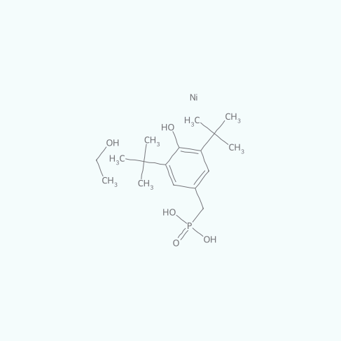 CC(C)(C)c1cc(CP(=O)(O)O)cc(C(C)(C)C)c1O.CCO.[Ni]